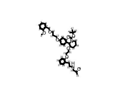 COc1ccccc1COCCCOc1ccc(C2C(OCCOc3ccccc3CCNCC(C)=O)CCCN2C(=O)OC(C)(C)C)cc1